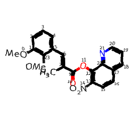 COc1cccc(C=C(C)C(=O)Oc2c([N+](=O)[O-])ccc3cccnc23)c1OC